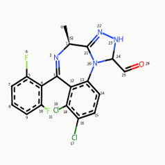 C[C@@H]1N=C(c2c(F)cccc2F)c2c(ccc(Cl)c2Cl)N2C1=NNC2C=O